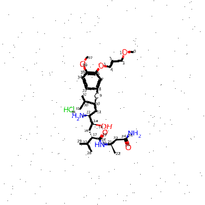 COCCCOc1cc(C[C@@H](C[C@H](N)[C@@H](O)C[C@H](C(=O)N[C@H](C)CC(N)=O)C(C)C)C(C)C)ccc1OC.Cl